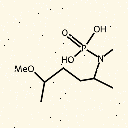 COC(C)CCC(C)N(C)P(=O)(O)O